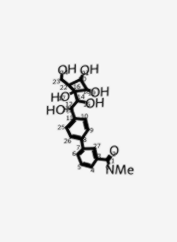 CNC(=O)c1cccc(-c2ccc([C@H](O)C(O)C3(O)C(O)C(O)C3CO)cc2)c1